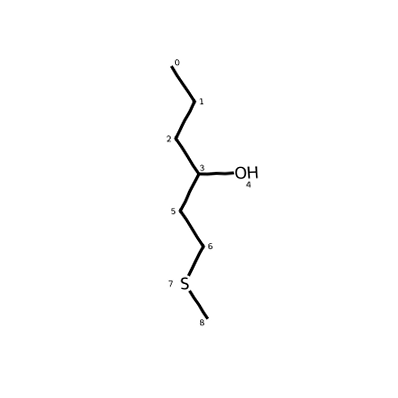 CCCC(O)CCSC